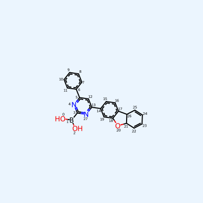 OB(O)c1nc(-c2ccccc2)cc(-c2ccc3c(c2)OC2C=CC=CC32)n1